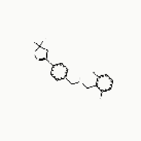 Cc1cccc(C)c1CNCc1ccc(C2=NOC(O)(C(F)(F)F)C2)cc1